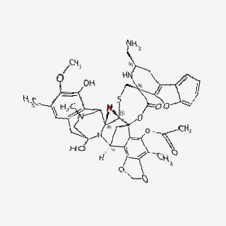 COc1c(C)cc2c(c1O)C1[C@@H]3[C@@H]4SC[C@]5(N[C@@H](CN)Cc6c5oc5ccccc65)C(=O)OC45C[C@@H](c4c6c(c(C)c(OC(C)=O)c45)OCO6)N3C(O)(C2)CN1C